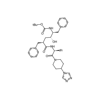 CC(C)[C@H](NC(=O)[C@@H](Cc1ccccc1)C[C@@H](O)[C@H](Cc1ccccc1)NC(=O)OC(C)(C)C)C(=O)N1CCC(n2cnnc2)CC1